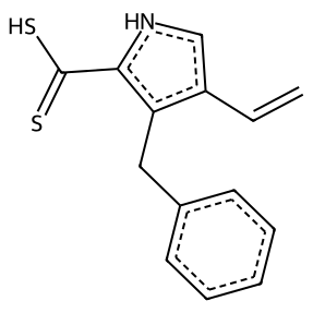 C=Cc1c[nH]c(C(=S)S)c1Cc1ccccc1